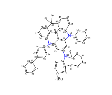 CC(C)(C)c1ccc2c(c1)C1(C)CCCCC1(C)N2c1cc2c3c(c1)N(c1ccc(-c4ccccc4)cc1)c1cccc4c1B3c1c(cccc1C4(C)C)N2c1ccccc1